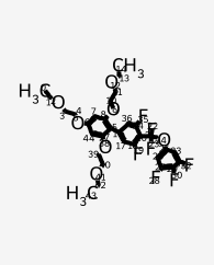 CCOCCOc1cc(OCCOCC)c(-c2cc(F)c(C(F)(F)Oc3cc(F)c(F)c(F)c3)c(F)c2)c(OCCOCC)c1